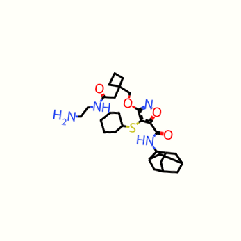 NCCNC(=O)CC1(COc2noc(C(=O)NC3C4CC5CC(C4)CC3C5)c2SC2CCCCC2)CCC1